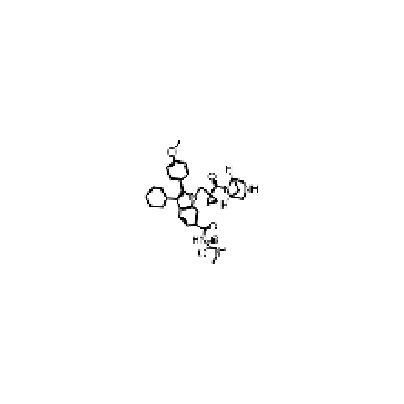 COc1ccc(-c2c(C3CCCCC3)c3ccc(C(=O)NS(=O)(=O)N(C)C)cc3n2CC2(C(=O)N3[C@@H]4CNC[C@H]3C4)CC2)cc1